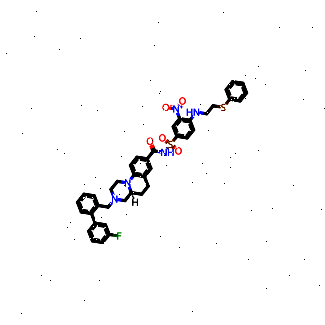 O=C(NS(=O)(=O)c1ccc(NCCSc2ccccc2)c([N+](=O)[O-])c1)c1ccc2c(c1)CC[C@H]1CN(Cc3ccccc3-c3cccc(F)c3)CCN21